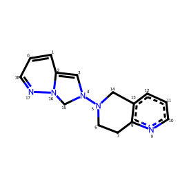 C1=CC2=CN(N3CCc4ncccc4C3)CN2N=C1